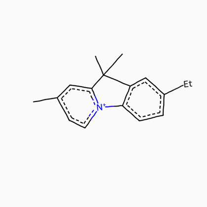 CCc1ccc2c(c1)C(C)(C)c1cc(C)cc[n+]1-2